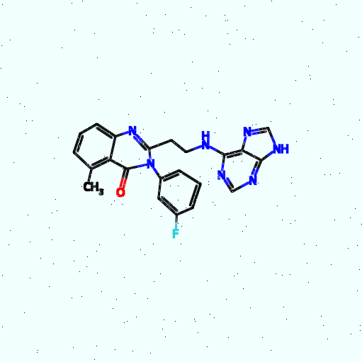 Cc1cccc2nc(CCNc3ncnc4[nH]cnc34)n(-c3cccc(F)c3)c(=O)c12